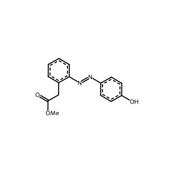 COC(=O)Cc1ccccc1N=Nc1ccc(O)cc1